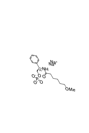 COCCCCCC(=O)N[C@@H](COP(=O)([O-])[O-])c1ccccc1.[Na+].[Na+]